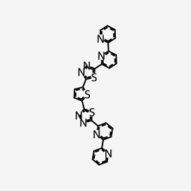 c1ccc(-c2cccc(-c3nnc(-c4ccc(-c5nnc(-c6cccc(-c7ccccn7)n6)s5)s4)s3)n2)nc1